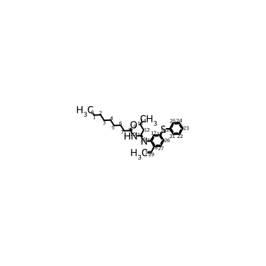 CCCCCCCCC(=O)N/C(CCC)=N/c1cc(Sc2ccccc2)ccc1CC